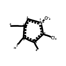 Cc1[c][n+]([O-])c(Cl)c(C)c1I